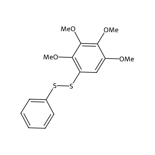 COc1cc(SSc2ccccc2)c(OC)c(OC)c1OC